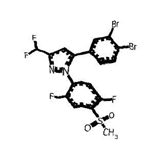 CS(=O)(=O)c1cc(F)c(-n2nc(C(F)F)cc2-c2ccc(Br)c(Br)c2)cc1F